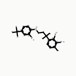 Cc1ccc(C(C)(C)CCOc2ccc(C(C)(C)C)cc2F)c(F)c1F